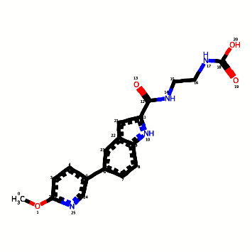 COc1ccc(-c2ccc3[nH]c(C(=O)NCCNC(=O)O)cc3c2)cn1